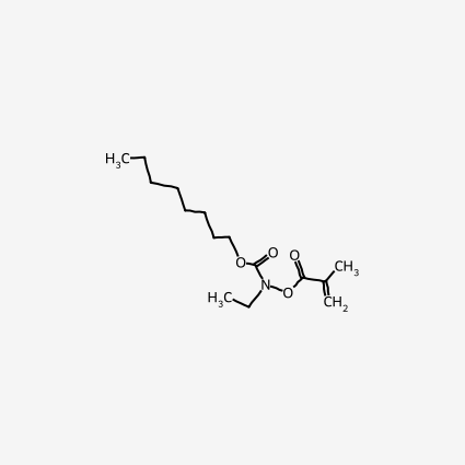 C=C(C)C(=O)ON(CC)C(=O)OCCCCCCCC